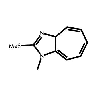 CSC1=NC2C=CC=CC=C2N1C